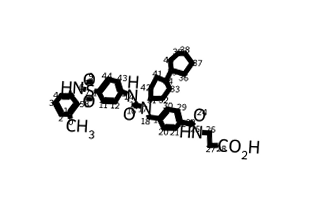 Cc1cccc(NS(=O)(=O)c2ccc(NC(=O)N(Cc3ccc(C(=O)NCCC(=O)O)cc3)C3CCC(C4CCCCC4)CC3)cc2)c1